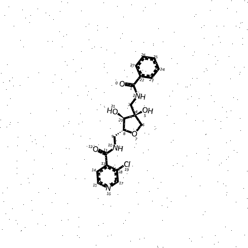 O=C(NC[C@]1(O)CO[C@H](CNC(=O)c2ccncc2Cl)[C@H]1O)c1ccccc1